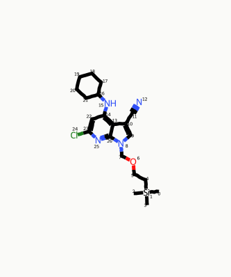 C[Si](C)(C)CCOCn1cc(C#N)c2c(NC3CCCCC3)cc(Cl)nc21